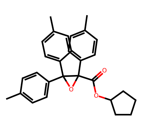 Cc1ccc(C2(C(=O)OC3CCCC3)OC2(c2ccc(C)cc2)c2ccc(C)cc2)cc1